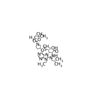 CCn1c(N(CC(C)C)N[C@@H](CCSC)C(=O)O)nc2c(OC3CCN(C(=O)OC(C)(C)C)C3)ncnc21